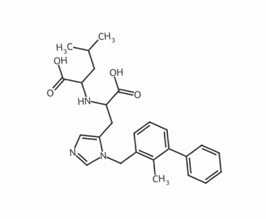 Cc1c(Cn2cncc2CC(NC(CC(C)C)C(=O)O)C(=O)O)cccc1-c1ccccc1